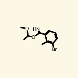 COC(C)OC(=N)c1cccc(Br)c1C